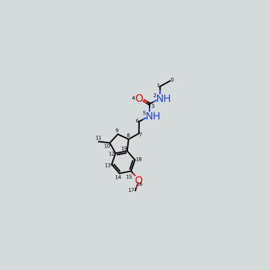 CCNC(=O)NCCC1CC(C)c2ccc(OC)cc21